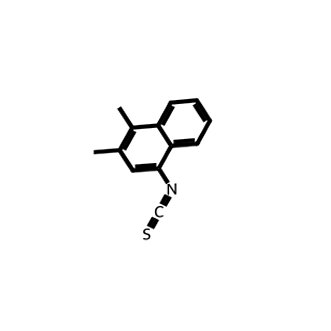 Cc1cc(N=C=S)c2ccccc2c1C